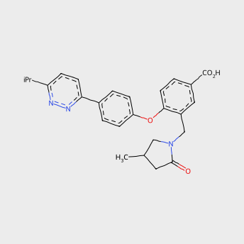 CC1CC(=O)N(Cc2cc(C(=O)O)ccc2Oc2ccc(-c3ccc(C(C)C)nn3)cc2)C1